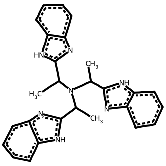 CC(c1nc2ccccc2[nH]1)N(C(C)c1nc2ccccc2[nH]1)C(C)c1nc2ccccc2[nH]1